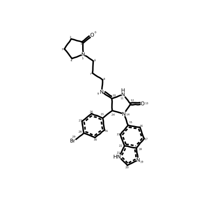 O=C1CCCN1CCCN=C1NC(=O)N(c2ccc3nc[nH]c3c2)C1c1ccc(Br)cc1